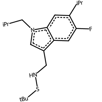 CC(C)Cn1cc(CNSC(C)(C)C)c2cc(F)c(C(C)C)cc21